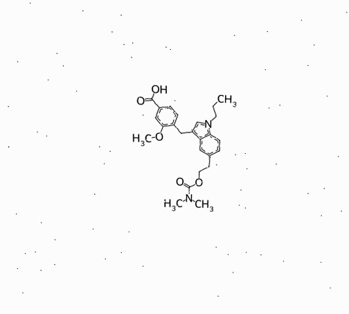 CCCn1cc(Cc2ccc(C(=O)O)cc2OC)c2cc(CCOC(=O)N(C)C)ccc21